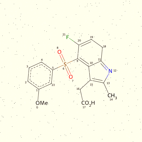 COc1cccc(S(=O)(=O)C2=C3C(=NC(C)=C3CC(=O)O)CC=C2F)c1